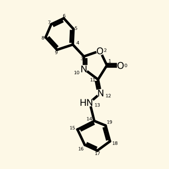 O=C1OC(c2ccccc2)=N/C1=N\Nc1ccccc1